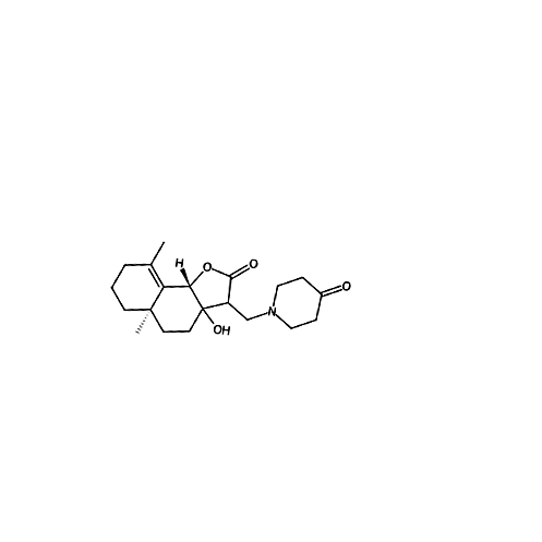 CC1=C2[C@@H]3OC(=O)C(CN4CCC(=O)CC4)C3(O)CC[C@@]2(C)CCC1